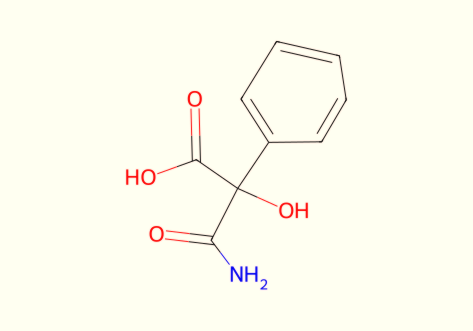 NC(=O)C(O)(C(=O)O)c1ccccc1